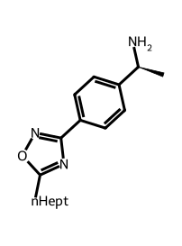 CCCCCCCc1nc(-c2ccc([C@H](C)N)cc2)no1